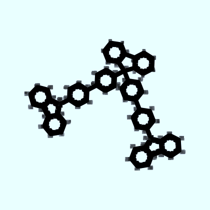 c1ccc2c(c1)-c1ccccc1C2(c1ccc(-c2ccc(-n3c4ccccc4c4ccccc43)cc2)cc1)c1ccc(-c2ccc(-n3c4ccccc4c4ccccc43)cc2)cc1